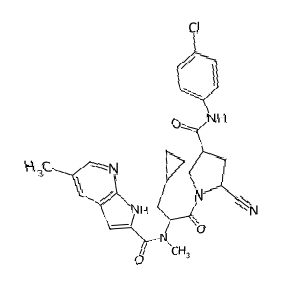 Cc1cnc2[nH]c(C(=O)N(C)C(CC3CC3)C(=O)N3CC(C(=O)Nc4ccc(Cl)cc4)CC3C#N)cc2c1